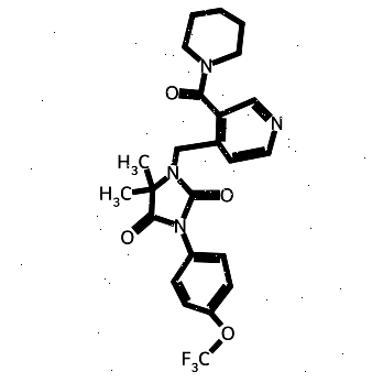 CC1(C)C(=O)N(c2ccc(OC(F)(F)F)cc2)C(=O)N1Cc1ccncc1C(=O)N1CCCCC1